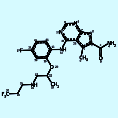 Cc1c(C(N)=O)sc2ncnc(Nc3ccc(F)cc3OC(C)CNCCC(F)(F)F)c12